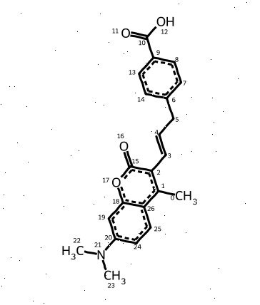 Cc1c(/C=C/Cc2ccc(C(=O)O)cc2)c(=O)oc2cc(N(C)C)ccc12